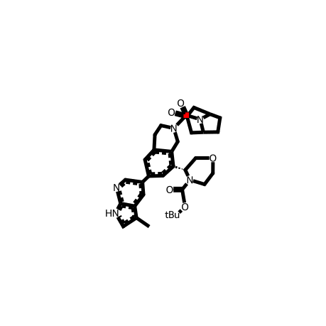 Cc1c[nH]c2ncc(-c3cc4c(c([C@@H]5COCCN5C(=O)OC(C)(C)C)c3)CN(C(=O)N3C5CCC3CC(=O)C5)CC4)cc12